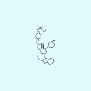 CCc1nc2ccccc2n1-c1cc(N2CCOCC2)n2nc(CN3CCN(S(C)(=O)=O)CC3)cc2n1